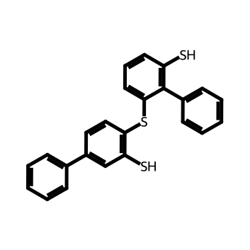 Sc1cc(-c2ccccc2)ccc1Sc1cccc(S)c1-c1ccccc1